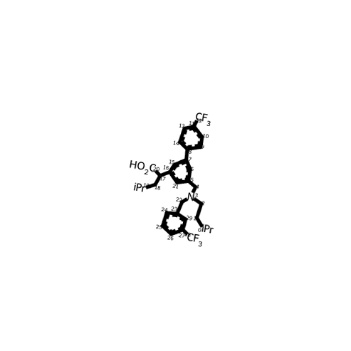 CC(C)CCN(Cc1cc(-c2ccc(C(F)(F)F)cc2)cc(C(CC(C)C)C(=O)O)c1)Cc1cccc(C(F)(F)F)c1